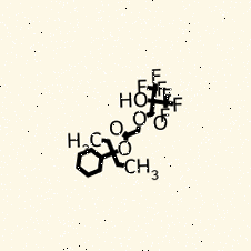 CCC(CC)(OC(=O)COC(=O)C(O)(C(F)(F)F)C(F)(F)F)C1CCCCC1